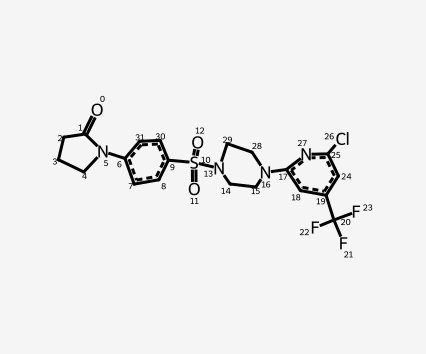 O=C1CCCN1c1ccc(S(=O)(=O)N2CCN(c3cc(C(F)(F)F)cc(Cl)n3)CC2)cc1